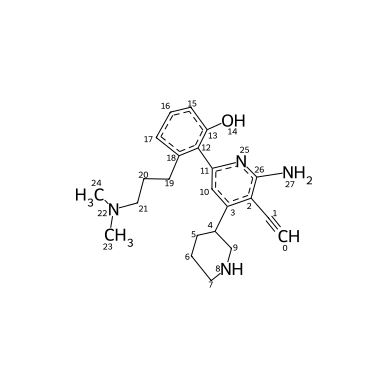 C#Cc1c(C2CCCNC2)cc(-c2c(O)cccc2CCCN(C)C)nc1N